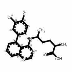 CC(CCC(C)C(=O)O)Nc1ncnc2cccc(-c3ccc(Cl)c(Cl)c3)c12